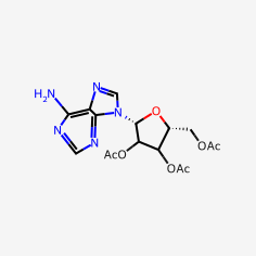 CC(=O)OC[C@H]1O[C@@H](n2cnc3c(N)ncnc32)C(OC(C)=O)C1OC(C)=O